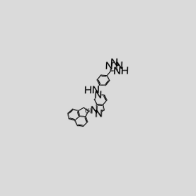 C1=CN(Nc2ccc(-c3nnn[nH]3)cc2)Cc2c1cnn2[C@H]1Cc2cccc3cccc1c23